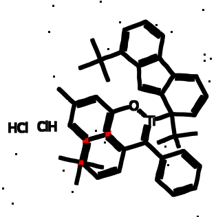 Cc1cc([O][Ti](=[C](c2ccccc2)c2ccccc2)[C]2(C(C)(C)C)C=CC=C3C2=Cc2c3cccc2C(C)(C)C)cc(C(C)(C)C)c1.Cl.Cl